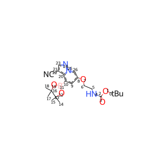 CC(C)(C)OC(=O)NCCOc1cc(B2OC(C)(C)C(C)(C)O2)c2c(C#N)cnn2c1